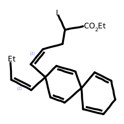 CC/C=C\C1(/C=C\CC(I)C(=O)OCC)C=CC2(C=CCC=C2)C=C1